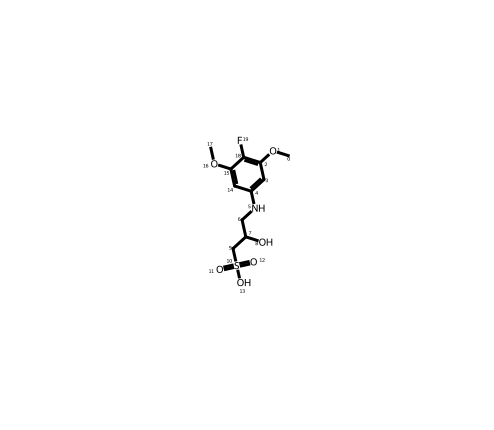 COc1cc(NCC(O)CS(=O)(=O)O)cc(OC)c1F